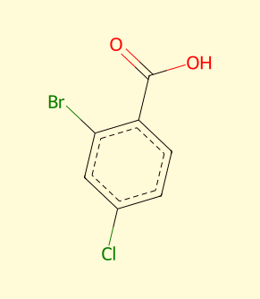 O=C(O)c1ccc(Cl)cc1Br